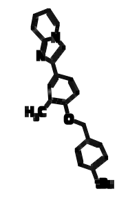 Cc1cc(-c2cn3ccccc3n2)ccc1OCc1ccc(C(C)(C)C)cc1